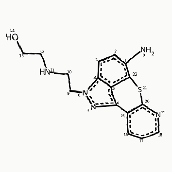 Nc1ccc2c3c(nn2CCNCCO)-c2cccnc2Sc13